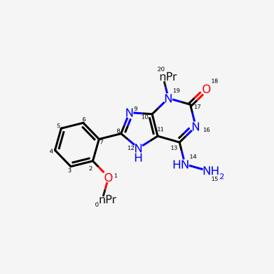 CCCOc1ccccc1-c1nc2c([nH]1)c(NN)nc(=O)n2CCC